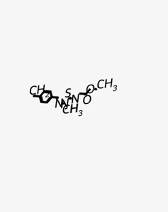 C=Cc1ccc(C=NN(C)C(=S)NCC(=O)OCC)cc1